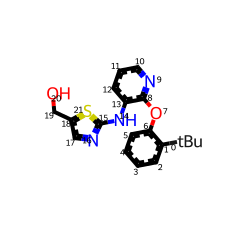 CC(C)(C)c1ccccc1Oc1ncccc1Nc1ncc(CO)s1